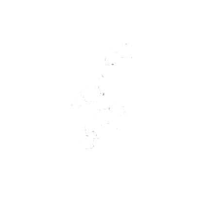 COc1cc(/C=C/C(=O)NC(C(=O)N2CCCC2C(=O)O[C@@H]2CC3CCC2(C)C3(C)C)c2cccs2)ccc1O